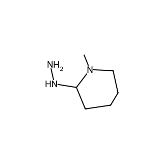 CN1CCCCC1NN